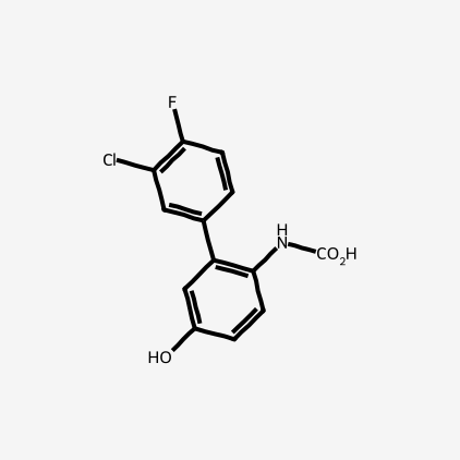 O=C(O)Nc1ccc(O)cc1-c1ccc(F)c(Cl)c1